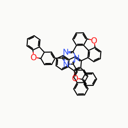 C1=CC2Oc3ccccc3C2C=C1c1nc(-c2ccc3ccccc3c2)nc(-c2cccc3oc4cccc(-c5cc6ccccc6c6oc7ccccc7c56)c4c23)n1